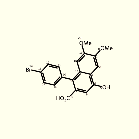 COc1cc2c(O)cc(C(=O)O)c(-c3ccc(Br)cc3)c2cc1OC